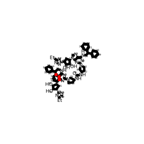 CCc1nnn(C2C[C@@H](n3cnc4c(NCC(c5ccccc5)c5ccccc5)nc(N5CC[C@H](NC(=O)NC6CCN(c7nc(NCC(c8ccccc8)c8ccccc8)c8ncn([C@@H]9C[C@H](n%10nnc(CC)n%10)[C@@H](O)[C@H]9O)c8n7)C6)C5)nc43)[C@H](O)[C@@H]2O)n1